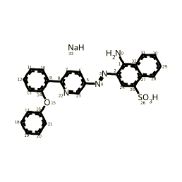 Nc1c(/N=N/c2ccc(-c3ccccc3Oc3ccccc3)nc2)cc(S(=O)(=O)O)c2ccccc12.[NaH]